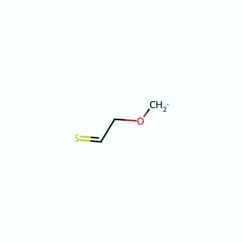 [CH2]OCC=S